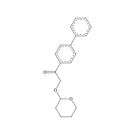 O=C(COC1CCCCO1)c1ccc(-c2ccccc2)cc1